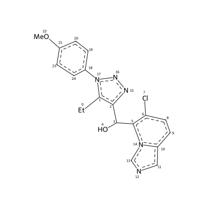 CCc1c(C(O)c2c(Cl)ccc3cncn23)nnn1-c1ccc(OC)cc1